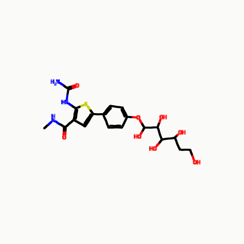 CNC(=O)c1cc(-c2ccc(OC(O)C(O)C(O)C(O)CCO)cc2)sc1NC(N)=O